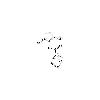 O=C(ON1C(=O)CCC1O)[C@H]1CC2C=CC1C2